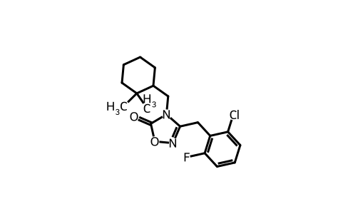 CC1(C)CCCCC1Cn1c(Cc2c(F)cccc2Cl)noc1=O